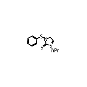 CCCS1=CCN(Sc2ccccc2)C1=S